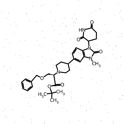 Cn1c(=O)n(C2CCC(=O)NC2=O)c2ccc(C3CCN([C@H](COCc4ccccc4)C(=O)OC(C)(C)C)CC3)cc21